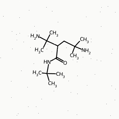 CC(C)(N)CC(C(=O)NC(C)(C)C)C(C)(C)N